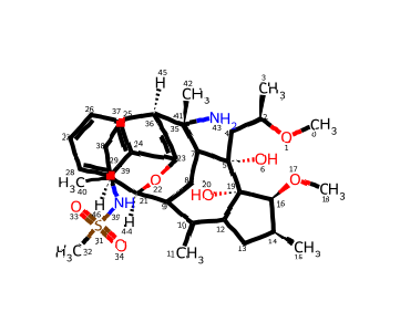 CO[C@H](C)C[C@]1(O)C2CC(C(C)C3C[C@H](C)[C@H](OC)[C@@]31O)[C@@H]1O/C(c3ccccc3NS(C)(=O)=O)=C/[C@@H](CC[C@@H]1C)[C@]2(C)N